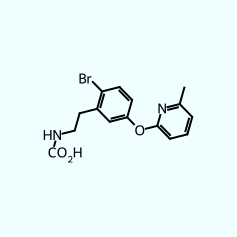 Cc1cccc(Oc2ccc(Br)c(CCNC(=O)O)c2)n1